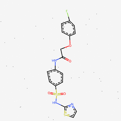 O=C(COc1ccc(F)cc1)Nc1ccc(S(=O)(=O)Nc2nccs2)cc1